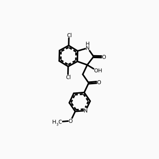 COc1ccc(C(=O)CC2(O)C(=O)Nc3c(Cl)ccc(Cl)c32)cn1